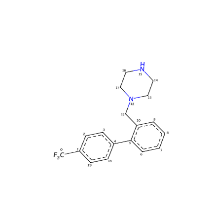 FC(F)(F)c1ccc(-c2ccccc2CN2CCNCC2)cc1